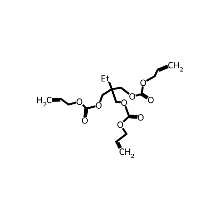 C=CCOC(=O)OCC(CC)(COC(=O)OCC=C)COC(=O)OCC=C